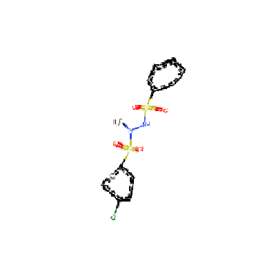 CN(NS(=O)(=O)c1ccccc1)S(=O)(=O)c1ccc(Cl)cc1